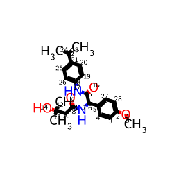 COc1ccc(C(NC(=O)CC(C)(C)O)C(=O)Nc2ccc(C(C)C)cc2)cc1